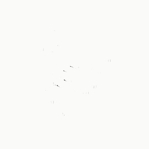 CN(C)[C@@H]1C(O)=C(C(N)=O)C(=O)[C@]2(O)C(O)=C3C(=O)c4c(O)cccc4[C@@H](CCC(F)(F)C(F)(F)F)[C@H]3[C@H](O)[C@@H]12